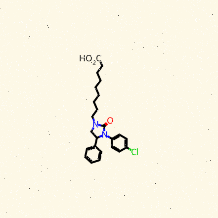 O=C(O)CCCCCCCCN1CC(c2ccccc2)N(c2ccc(Cl)cc2)C1=O